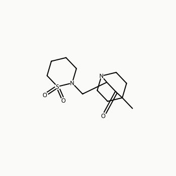 CC12CCN(CC1)C(CN1CCCCS1(=O)=O)C2=O